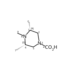 C[C@@H]1CN(C(=O)O)C[C@H](C)N1C